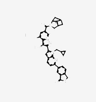 COc1cc(C(=O)N2CC3CC4CC2[C@H]43)cn2nc(-c3cc4ccc(-c5ccc6c(c5)C(=O)NC6)nc4n3CC3CC3)c(C)c12